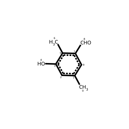 Cc1cc(O)c(C)c(C=O)c1